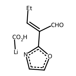 CCC=C(C=O)c1ncco1.[Li][C](=O)O